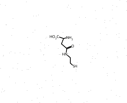 NC(CC(=O)NCCS)C(=O)O